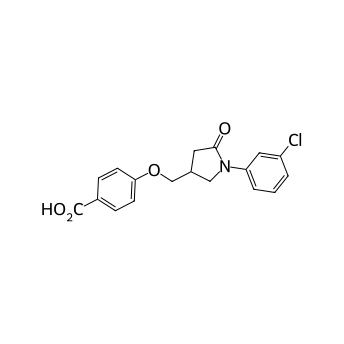 O=C(O)c1ccc(OCC2CC(=O)N(c3cccc(Cl)c3)C2)cc1